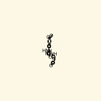 COCC(=O)N1CCN(c2ccc(-c3nc4c(NC5CCN(Cc6ccc(OC)cc6)CC5)c(Cl)cnc4[nH]3)cc2)CC1